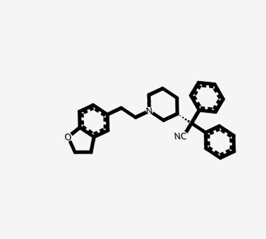 N#CC(c1ccccc1)(c1ccccc1)[C@H]1CCCN(CCc2ccc3c(c2)CCO3)C1